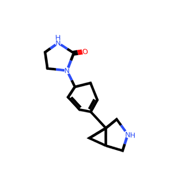 O=C1NCCN1C1C=CC(C23CNCC2C3)=CC1